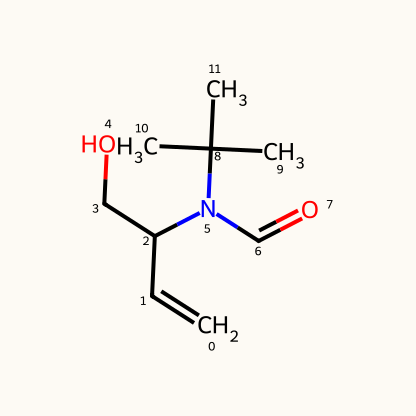 C=CC(CO)N(C=O)C(C)(C)C